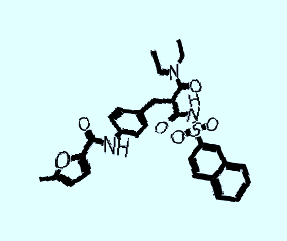 CCN(CC)C(=O)C(Cc1ccc(NC(=O)c2ccc(C)o2)cc1)C(=O)NS(=O)(=O)c1ccc2ccccc2c1